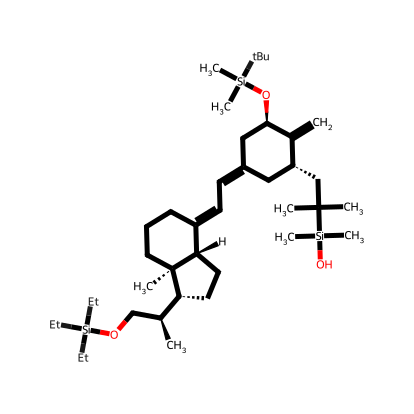 C=C1[C@H](CC(C)(C)[Si](C)(C)O)C/C(=C\C=C2/CCC[C@]3(C)[C@@H]([C@@H](C)CO[Si](CC)(CC)CC)CC[C@@H]23)C[C@H]1O[Si](C)(C)C(C)(C)C